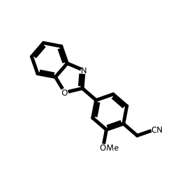 COc1cc(-c2nc3ccccc3o2)ccc1CC#N